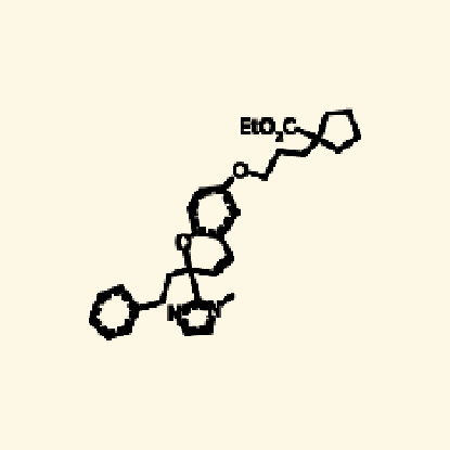 CCOC(=O)C1(CCCOc2ccc3c(c2)C=CC(CCc2ccccc2)(c2nccn2C)O3)CCCC1